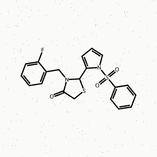 O=C1CSC(c2cccn2S(=O)(=O)c2ccccc2)N1Cc1ccccc1F